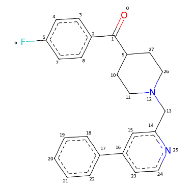 O=C(c1ccc(F)cc1)C1CCN(Cc2cc(-c3ccccc3)ccn2)CC1